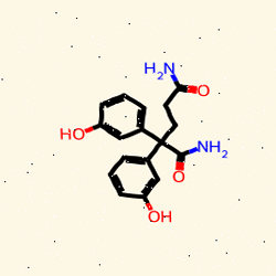 NC(=O)CCC(C(N)=O)(c1cccc(O)c1)c1cccc(O)c1